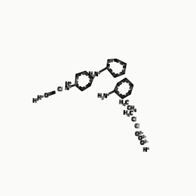 C.C.C.C=O.[C].[C].[C].[H+].[H+].[H+].[NH3+]c1ccccc1.[NH3+]c1ccccc1.[NH3+]c1ccccc1.[O-2].[O-2].[O-2]